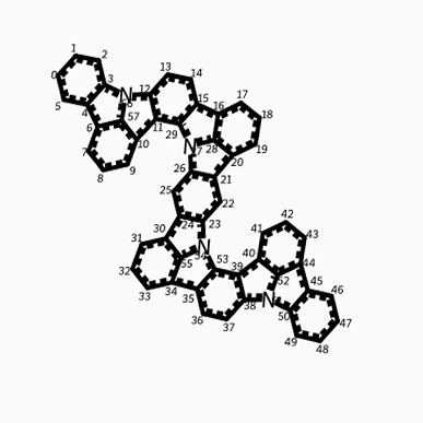 c1ccc2c(c1)c1cccc3c4c(ccc5c6cccc7c8cc9c(cc8n(c76)c54)c4cccc5c6ccc7c(c8cccc%10c%11ccccc%11n7c%108)c6n9c45)n2c13